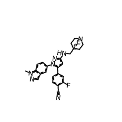 Cn1ncc2cc(-n3nc(NCC45CCN(CC4)CC5)cc3-c3ccc(C#N)c(F)c3)ccc21